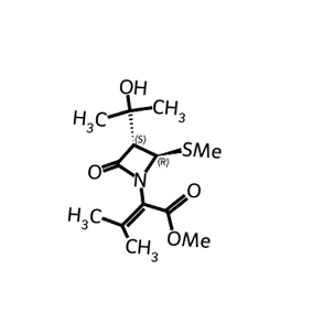 COC(=O)C(=C(C)C)N1C(=O)[C@H](C(C)(C)O)[C@H]1SC